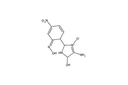 NC1=[N+]([O-])C(C2C=CC([N+](=O)[O-])=C/C2=N/O)NC1O